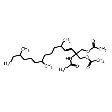 CCC(C)CCCC(C)CCCC(C)C=CC(COC(C)=O)(COC(C)=O)NC(C)=O